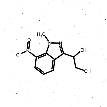 CC(CO)c1nn(C)c2c([N+](=O)[O-])cccc12